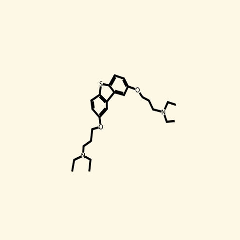 CCN(CC)CCCOc1ccc2sc3ccc(OCCCN(CC)CC)cc3c2c1